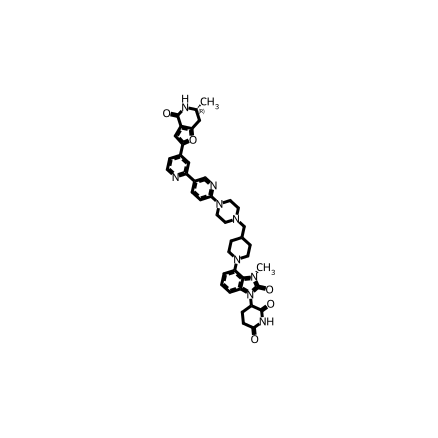 C[C@@H]1Cc2oc(-c3ccnc(-c4ccc(N5CCN(CC6CCN(c7cccc8c7n(C)c(=O)n8C7CCC(=O)NC7=O)CC6)CC5)nc4)c3)cc2C(=O)N1